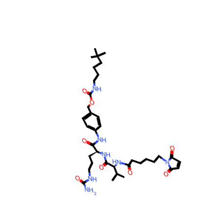 CC(C)[C@H](NC(=O)CCCCCN1C(=O)C=CC1=O)C(=O)N[C@@H](CCCNC(N)=O)C(=O)Nc1ccc(COC(=O)NCCCCC(C)(C)C)cc1